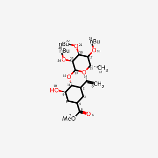 C=CC1CC(C(=O)OC)C[C@@H](O)[C@@H]1OC1O[C@@H](C)C(OCCCC)[C@H](OCCCC)[C@@H]1OCCCC